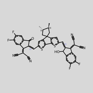 C[C@H]1CC2(C[C@@H]1C)c1cc(/C=C3\C(=O)c4cc(F)c(F)cc4C3=C(C#N)C#N)sc1-c1sc(/C=C3/C(=C(C#N)C#N)c4cc(F)c(F)cc4C3O)cc12